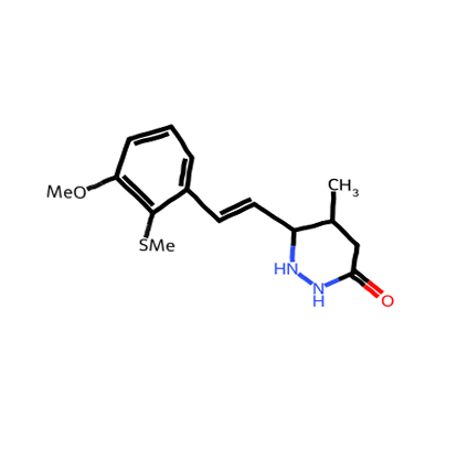 COc1cccc(/C=C/C2NNC(=O)CC2C)c1SC